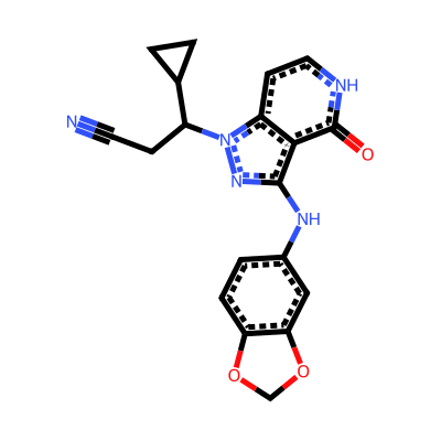 N#CCC(C1CC1)n1nc(Nc2ccc3c(c2)OCO3)c2c(=O)[nH]ccc21